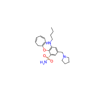 CCCCNc1cc(CN2CCCC2)cc(S(N)(=O)=O)c1OC1=CC=CC=CC1